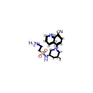 C[C@H]1C[C@@H](NS(=O)(=O)CCN)CN(c2ccc(C#N)c3ncccc23)C1